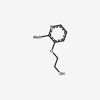 CSc1ncccc1OCCO